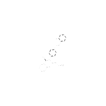 CCC1CCCCN1C(=N)N(CCCN)c1ccc(OCc2ccccc2C)cc1